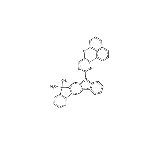 CC1(C)c2ccccc2-c2cc3c4ccccc4n(-c4ncc5c(n4)-c4cccc6cccc(c46)O5)c3cc21